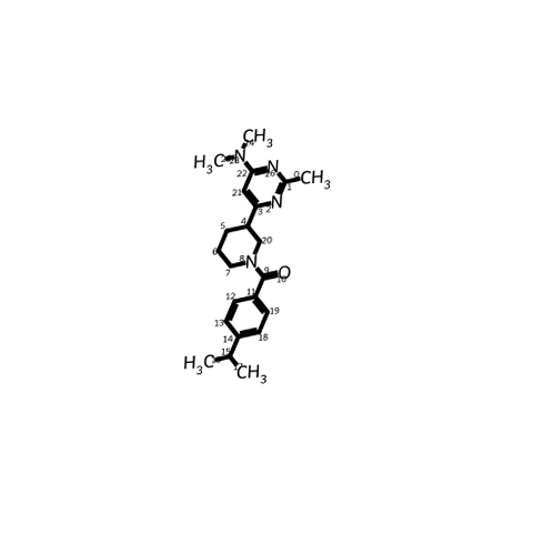 Cc1nc(C2CCCN(C(=O)c3ccc(C(C)C)cc3)C2)cc(N(C)C)n1